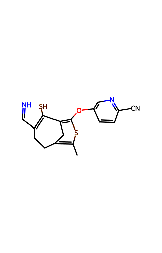 CC1=C2CCC(C=N)=C(S)C(=C(Oc3ccc(C#N)nc3)S1)C2